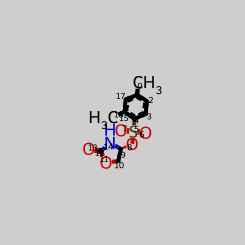 Cc1ccc(S(=O)(=O)O[C@H]2COC(=O)N2)c(C)c1